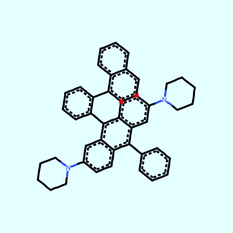 c1ccc(-c2c3cc(N4CCCCC4)ccc3c(-c3ccccc3-c3cccc4ccccc34)c3cc(N4CCCCC4)ccc23)cc1